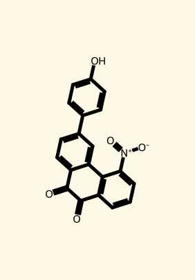 O=C1C(=O)c2cccc([N+](=O)[O-])c2-c2cc(-c3ccc(O)cc3)ccc21